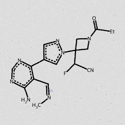 CCC(=O)N1CC(C(F)C#N)(n2cc(-c3ncnc(N)c3/C=N\C)cn2)C1